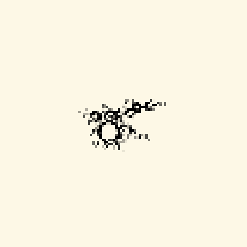 CC[C@H]1OC(=O)[C@H](C)C[C@H](C)[C@@H](O[C@H]2C[C@@H](N(C)CCc3cn([C@H](CF)[C@H](OC)c4ccc(-c5cnc(N)nc5)cc4)nn3)C[C@@H](C)O2)[C@](C)(OC)C[C@@H](C)/C(=N/OCOCCOC)[C@H](C)[C@@H](O)[C@]1(C)O